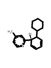 CC[C@]1(c2cc(C)ccn2)C=CC=CC1C1CCCCC1